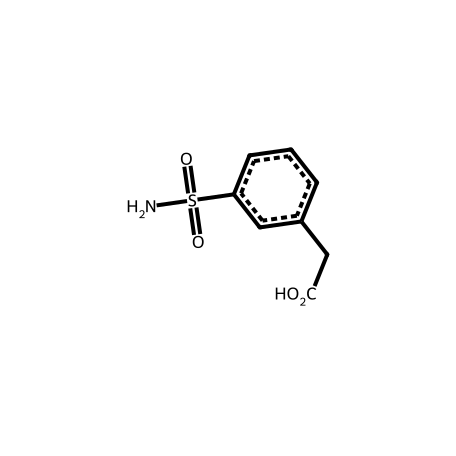 NS(=O)(=O)c1cccc(CC(=O)O)c1